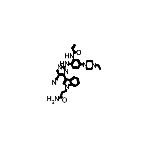 C=CC(=O)Nc1cc(N2CCN(CC)CC2)ccc1Nc1ncc(C#N)c(-c2cn(CCC(N)=O)c3ccccc23)n1